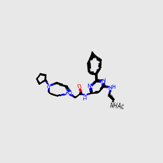 CC(=O)NCCNc1cc(NC(=O)CN2CCN(C3CCCC3)CC2)nc(-c2ccccc2)n1